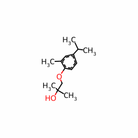 Cc1cc(C(C)C)ccc1OCC(C)(C)O